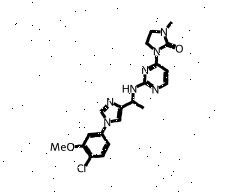 COc1cc(-n2cnc(C(C)Nc3nccc(N4CCN(C)C4=O)n3)c2)ccc1Cl